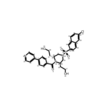 O=C(c1ccc(-c2ccncc2)cc1)N1[C@H](CCO)CN(S(=O)(=O)c2ccc3cc(Cl)ccc3c2)C[C@H]1CCO